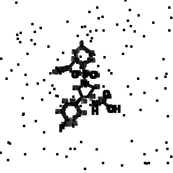 N#Cc1ccccc1S(=O)(=O)N1C[C@H](NC(=O)O)[C@@H](c2ccc(F)cc2)C1